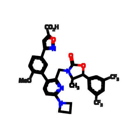 COc1ccc(-c2cc(C(=O)O)on2)cc1-c1ccc(N2CCC2)nc1CN1C(=O)OC(c2cc(C(F)(F)F)cc(C(F)(F)F)c2)C1C